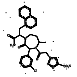 CC1CCN(C(Cc2cccc3ccccc23)C(N)=O)C(=O)C(c2cccc(Cl)c2)N1C(=O)Cn1cc(C(=O)O)nn1